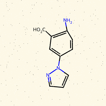 Nc1ccc(-n2cccn2)cc1C(=O)O